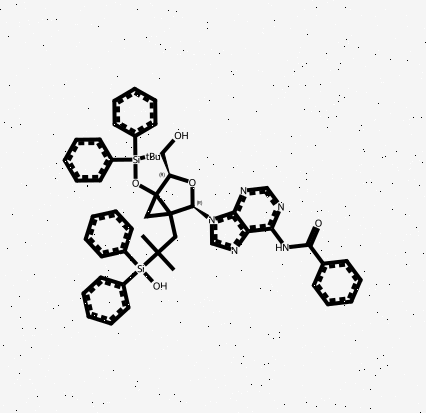 CC(C)(CC12CC1(O[Si](c1ccccc1)(c1ccccc1)C(C)(C)C)[C@@H](CO)O[C@H]2n1cnc2c(NC(=O)c3ccccc3)ncnc21)[Si](O)(c1ccccc1)c1ccccc1